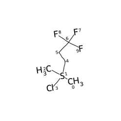 CS(C)(Cl)CCC(F)(F)F